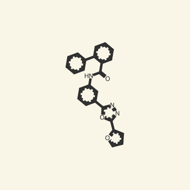 O=C(Nc1cccc(-c2nnc(-c3ccco3)o2)c1)c1ccccc1-c1ccccc1